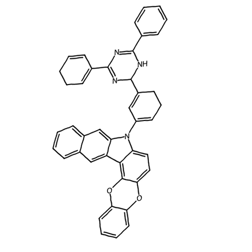 C1=CC(C2=NC(C3=CC(n4c5cc6ccccc6cc5c5c6c(ccc54)Oc4ccccc4O6)=CCC3)NC(c3ccccc3)=N2)=CCC1